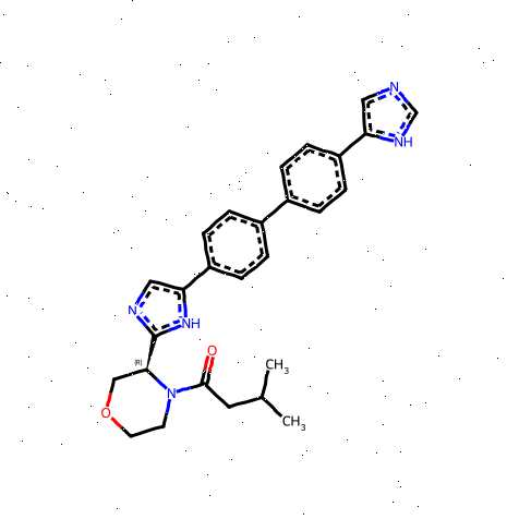 CC(C)CC(=O)N1CCOC[C@H]1c1ncc(-c2ccc(-c3ccc(-c4cnc[nH]4)cc3)cc2)[nH]1